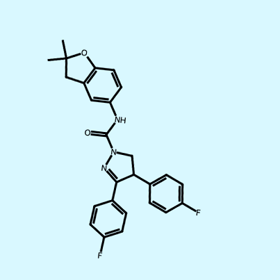 CC1(C)Cc2cc(NC(=O)N3CC(c4ccc(F)cc4)C(c4ccc(F)cc4)=N3)ccc2O1